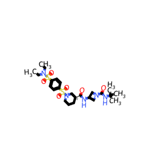 CCN(CC)S(=O)(=O)c1ccc(S(=O)(=O)N2CCC[C@@H](C(=O)NC3CN(C(=O)NC(C)(C)C)C3)C2)cc1